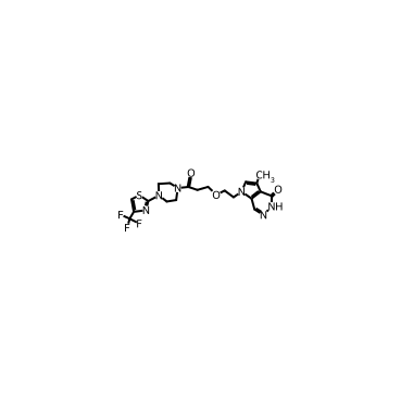 Cc1cn(CCOCCC(=O)N2CCN(c3nc(C(F)(F)F)cs3)CC2)c2cn[nH]c(=O)c12